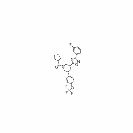 O=C(C1CCCC1)N1CC(c2ccc(OC(F)(F)F)cc2)CC(c2nc(-c3cccc(F)c3)no2)C1